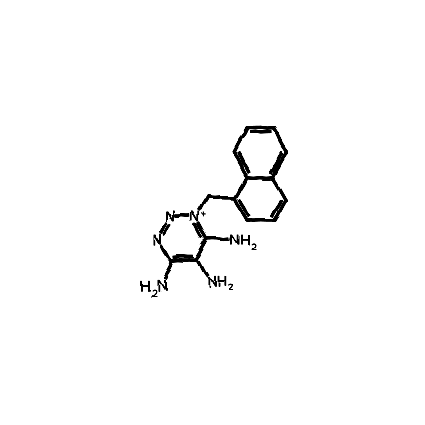 Nc1nn[n+](Cc2cccc3ccccc23)c(N)c1N